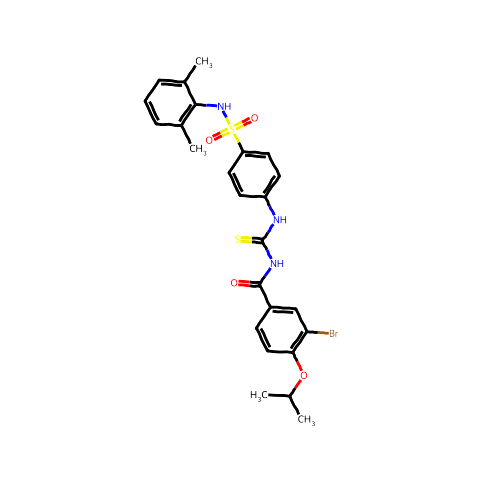 Cc1cccc(C)c1NS(=O)(=O)c1ccc(NC(=S)NC(=O)c2ccc(OC(C)C)c(Br)c2)cc1